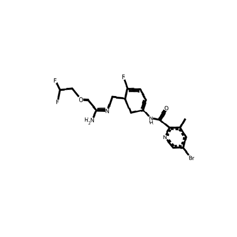 Cc1cc(Br)cnc1C(=O)NC1=CC=C(F)C(C/N=C(/N)COCC(F)F)C1